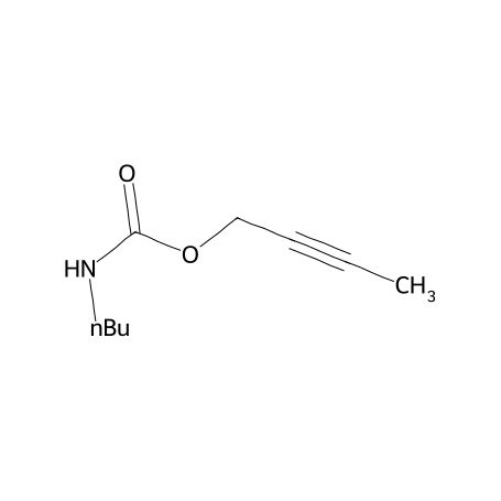 CC#CCOC(=O)NCCCC